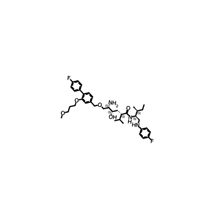 CC[C@H](C)[C@@H](CNc1ccc(F)cc1)NC(=O)[C@@H](C[C@H](O)[C@@H](N)COCc1ccc(-c2ccc(F)cc2)c(OCCCOC)c1)C(C)C